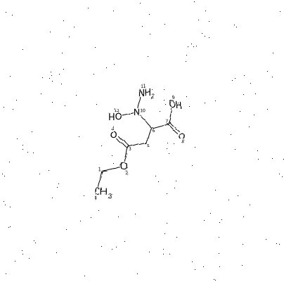 CCOC(=O)CC(C(=O)O)N(N)O